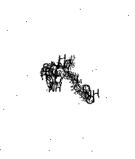 CNC(=O)c1ccccc1Nc1cc(Nc2cc(C)c(N3CCN(Cc4cccc(C5CCC(=O)NC5=O)c4)CC3)cc2OC(C)C)ncc1C(F)(F)F